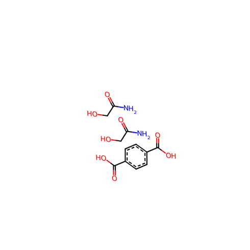 NC(=O)CO.NC(=O)CO.O=C(O)c1ccc(C(=O)O)cc1